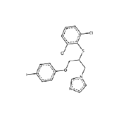 Clc1cccc(Cl)c1SC(COc1ccc(I)cc1)Cn1ccnc1